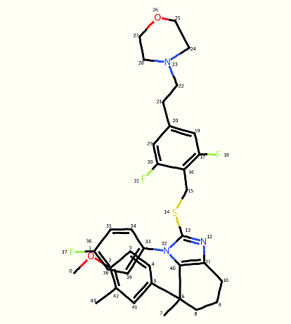 COc1ccc(C2(C)CCCc3nc(SCc4c(F)cc(CCN5CCOCC5)cc4F)n(-c4ccc(F)cc4)c32)cc1C